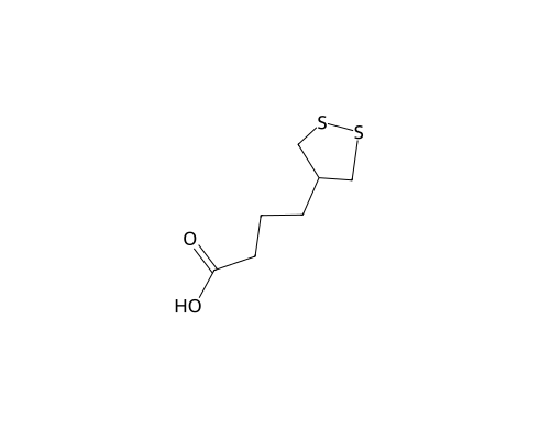 O=C(O)CCCC1CSSC1